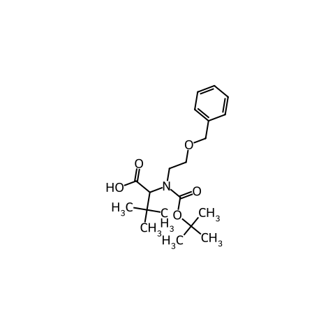 CC(C)(C)OC(=O)N(CCOCc1ccccc1)C(C(=O)O)C(C)(C)C